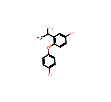 CC(C)c1cc(Br)ccc1Oc1ccc(Br)cc1